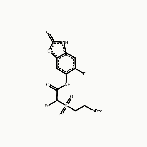 CCCCCCCCCCCCS(=O)(=O)C(CC)C(=O)Nc1cc2oc(=O)[nH]c2cc1F